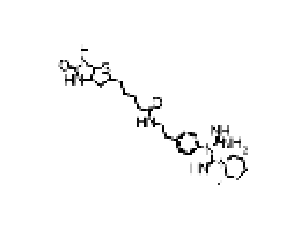 C[C@@H]1CCC[C@H](C)N1C(=N)N(C(=N)N)c1ccc(CCNC(=O)CCCCC2CC3NC(=O)NC3S2)cc1